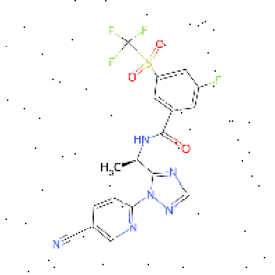 C[C@@H](NC(=O)c1cc(F)cc(S(=O)(=O)C(F)(F)F)c1)c1ncnn1-c1ccc(C#N)cn1